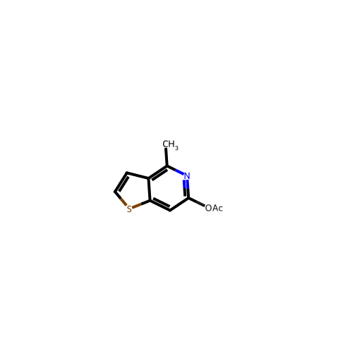 CC(=O)Oc1cc2sccc2c(C)n1